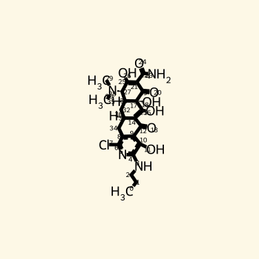 CCCNc1nc(Cl)c2c(c1O)C(=O)C1=C(O)[C@]3(O)C(=O)C(C(N)=O)=C(O)[C@@H](N(C)C)[C@@H]3C[C@@H]1C2